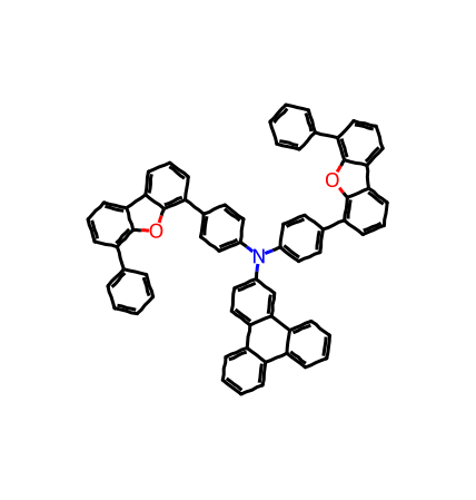 c1ccc(-c2cccc3c2oc2c(-c4ccc(N(c5ccc(-c6cccc7c6oc6c(-c8ccccc8)cccc67)cc5)c5ccc6c7ccccc7c7ccccc7c6c5)cc4)cccc23)cc1